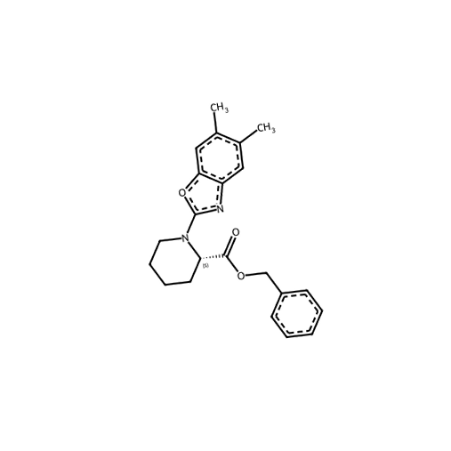 Cc1cc2nc(N3CCCC[C@H]3C(=O)OCc3ccccc3)oc2cc1C